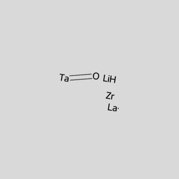 [La].[LiH].[O]=[Ta].[Zr]